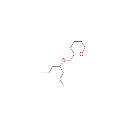 CCCC(CCC)OCC1CCCCO1